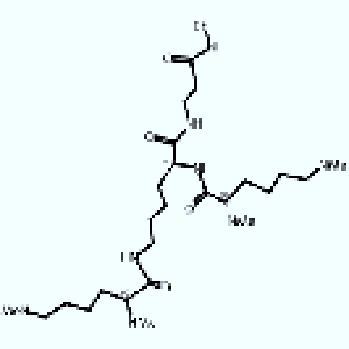 CCNC(=O)CCNC(=O)[C@H](CCCCNC(=O)[C@H](CCCCNC)NC)NC(=O)[C@H](CCCCNC)NC